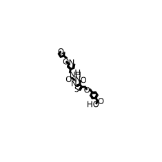 O=C(O)c1ccc(COCc2csc3nc(C(=O)NCc4ccnc(OCC5CCOC5)c4)[nH]c(=O)c23)cc1